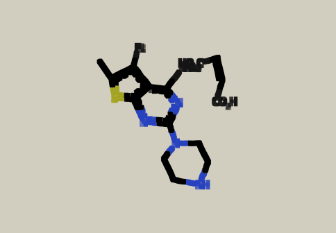 CCc1c(C)sc2nc(N3CCNCC3)nc(NC)c12.O=C(O)/C=C\C(=O)O